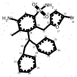 Cc1c(N)cc(S(N)(=O)=O)c(Cc2ccc(Br)o2)c1C(Cc1ccccc1)c1ccccc1